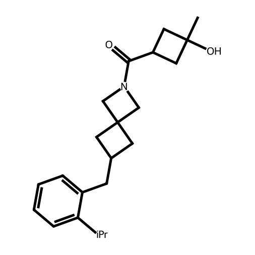 CC(C)c1ccccc1CC1CC2(C1)CN(C(=O)C1CC(C)(O)C1)C2